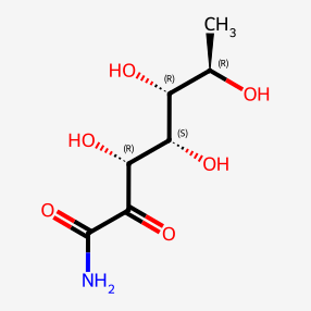 C[C@@H](O)[C@@H](O)[C@H](O)[C@@H](O)C(=O)C(N)=O